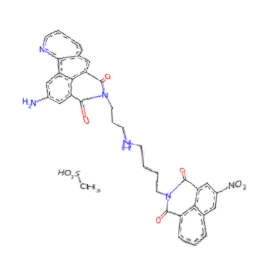 CS(=O)(=O)O.Nc1cc2c3c(cc4cccnc4c3c1)C(=O)N(CCCNCCCCN1C(=O)c3cccc4cc([N+](=O)[O-])cc(c34)C1=O)C2=O